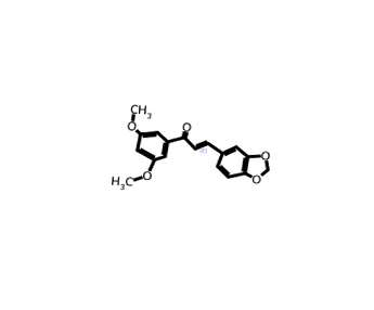 COc1cc(OC)cc(C(=O)/C=C/c2ccc3c(c2)OCO3)c1